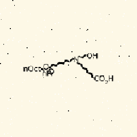 CCCCCCCCC(CCC)OC(=O)CCCCCCCN(CCCO)CCCCCCCC(=O)O